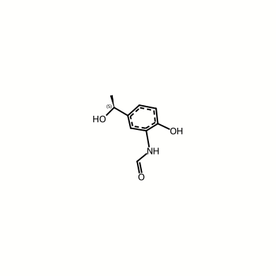 C[C@H](O)c1ccc(O)c(NC=O)c1